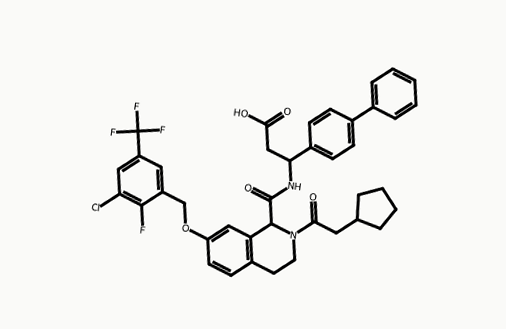 O=C(O)CC(NC(=O)C1c2cc(OCc3cc(C(F)(F)F)cc(Cl)c3F)ccc2CCN1C(=O)CC1CCCC1)c1ccc(-c2ccccc2)cc1